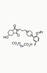 CC(C)Oc1ccc(F)cc1N1CCN(CCCN2C(=O)C3CCC(O)CC3C2=O)CC1.O=C(O)/C=C\C(=O)O